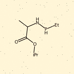 CCPNC(C)C(=O)OC(C)C